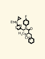 CCN(c1nc(CN(C(=O)C(Cc2ccccc2)N(C)C)c2ccc(F)cc2)cs1)C1CC1